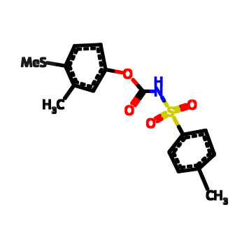 CSc1ccc(OC(=O)NS(=O)(=O)c2ccc(C)cc2)cc1C